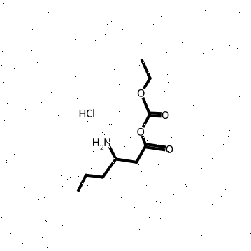 CCCC(N)CC(=O)OC(=O)OCC.Cl